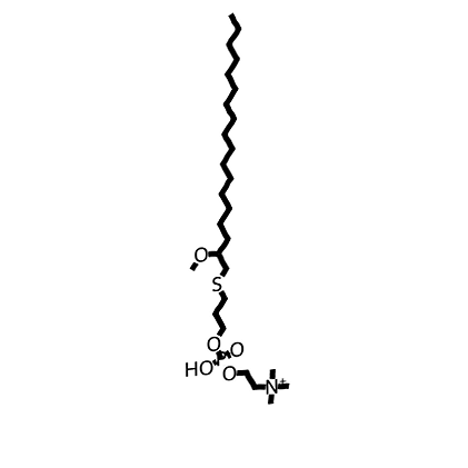 CCCCCCCCCCCCCCCCC(CSCCCOP(=O)(O)OCC[N+](C)(C)C)OC